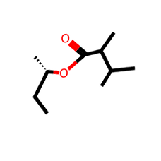 CC[C@H](C)OC(=O)C(C)C(C)C